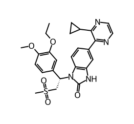 CCOc1cc([C@@H](CS(C)(=O)=O)n2c(=O)[nH]c3cc(-c4nccnc4C4CC4)ccc32)ccc1OC